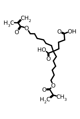 C=C(C)C(=O)OCCCCCCC(CCCCCCOC(=O)C(=C)C)(CCCC(=O)O)C(=O)O